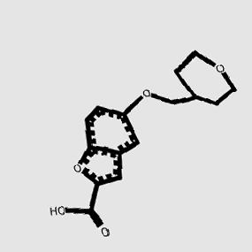 O=C(O)c1cc2cc(OCC3CCOCC3)ccc2o1